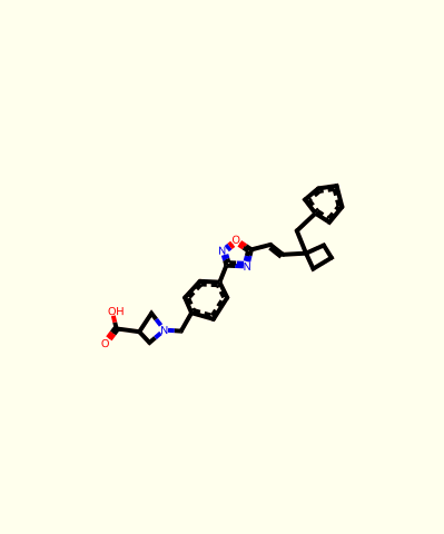 O=C(O)C1CN(Cc2ccc(-c3noc(C=CC4(Cc5ccccc5)CCC4)n3)cc2)C1